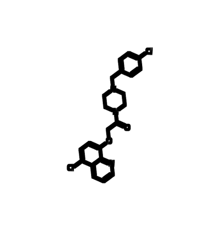 O=C(COc1ccc(Cl)c2cccnc12)N1CCN(Cc2ccc(Cl)cc2)CC1